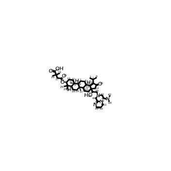 CC(C)C1=C2[C@H]3CC[C@@H]4[C@@]5(C)CC[C@H](OC(=O)CC(C)(C)C(=O)O)C(C)(C)[C@@H]5CC[C@@]4(C)[C@]3(C)CCC2(C(O)CN(CCN(C)C)Cc2ncccn2)CC1=O